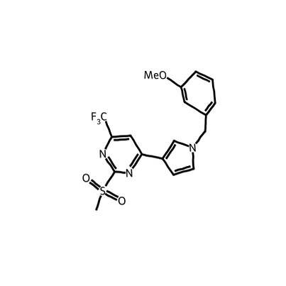 COc1cccc(Cn2ccc(-c3cc(C(F)(F)F)nc(S(C)(=O)=O)n3)c2)c1